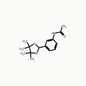 CC(=O)Nc1cccc(C2OC(C)(C)C(C)(C)O2)c1